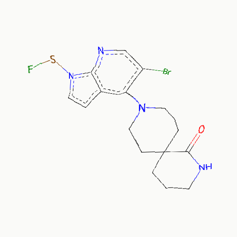 O=C1NCCCC12CCN(c1c(Br)cnc3c1ccn3SF)CC2